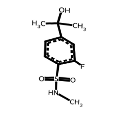 CNS(=O)(=O)c1ccc(C(C)(C)O)cc1F